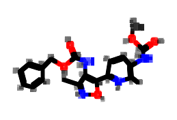 Cc1nc(-c2onc(C)c2NC(=O)OCc2ccccc2)ccc1NC(=O)OC(C)(C)C